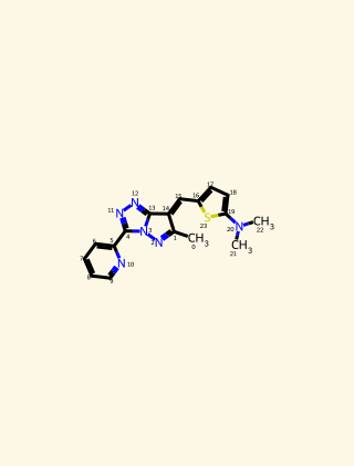 Cc1nn2c(-c3ccccn3)nnc2c1=Cc1ccc(N(C)C)s1